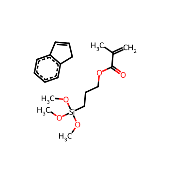 C1=Cc2ccccc2C1.C=C(C)C(=O)OCCC[Si](OC)(OC)OC